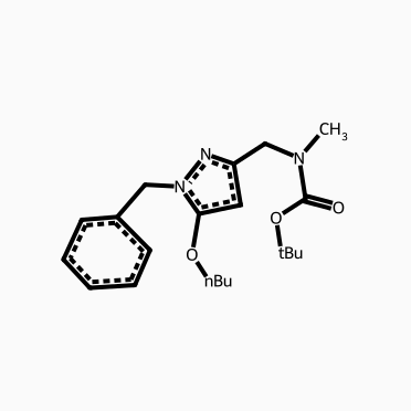 CCCCOc1cc(CN(C)C(=O)OC(C)(C)C)nn1Cc1ccccc1